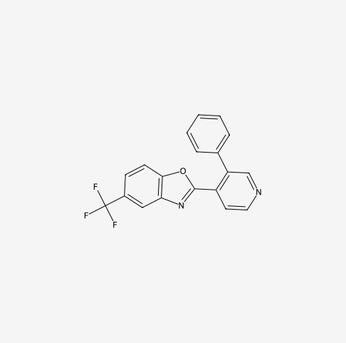 FC(F)(F)c1ccc2oc(-c3ccncc3-c3ccccc3)nc2c1